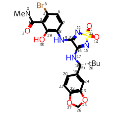 CNC(=O)c1c(Br)ccc(NC2=NS(=O)(=O)N=C2N[C@@H](c2ccc3c(c2)OCO3)C(C)(C)C)c1O